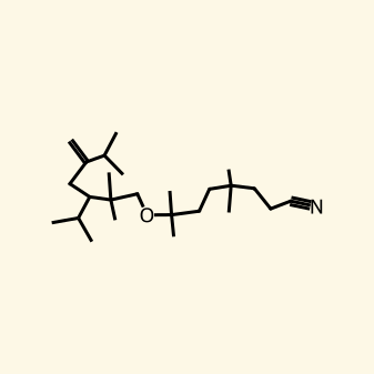 C=C(CC(C(C)C)C(C)(C)COC(C)(C)CCC(C)(C)CCC#N)C(C)C